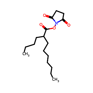 CCCCCCCC(CCCC)C(=O)ON1C(=O)CCC1=O